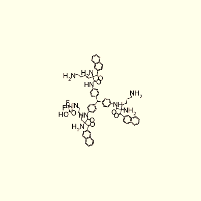 NCCCC[C@@](N)(C(=O)Nc1ccc(C(c2ccc(NC(=O)[C@](N)(CCCCN)C(=O)c3ccc4ccccc4c3)cc2)c2ccc(NC(=O)[C@](N)(CCCCN)C(=O)c3ccc4ccccc4c3)cc2)cc1)C(=O)c1ccc2ccccc2c1.O=C(O)C(F)(F)F